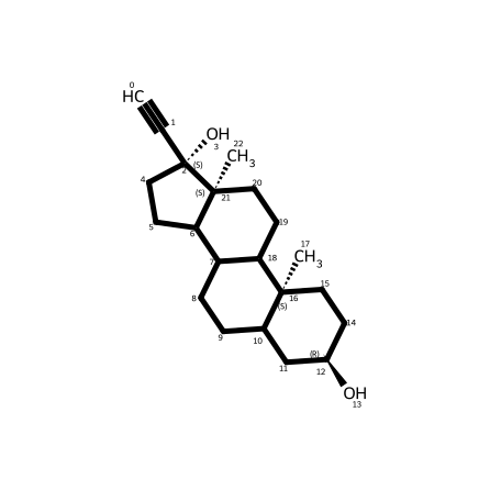 C#C[C@]1(O)CCC2C3CCC4C[C@H](O)CC[C@]4(C)C3CC[C@@]21C